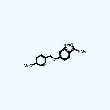 CNc1n[nH]c2cc(OCC3=CCC(OC)C=N3)ccc12